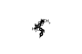 Cc1cc2c(cnn2-c2ccc(F)cc2)cc1C1CN(S(=O)(=O)c2cnn(C)n2)CCN1CC1(C#N)CC1